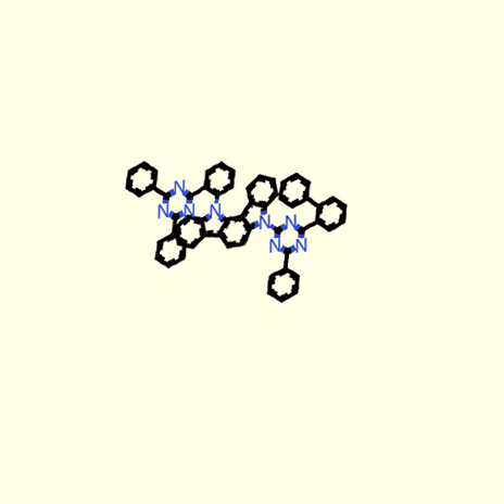 c1ccc(-c2nc(-c3ccccc3)nc(-c3ccccc3-n3c4ccccc4c4ccc5c(c6ccccc6n5-c5nc(-c6ccccc6)nc(-c6ccccc6-c6ccccc6)n5)c43)n2)cc1